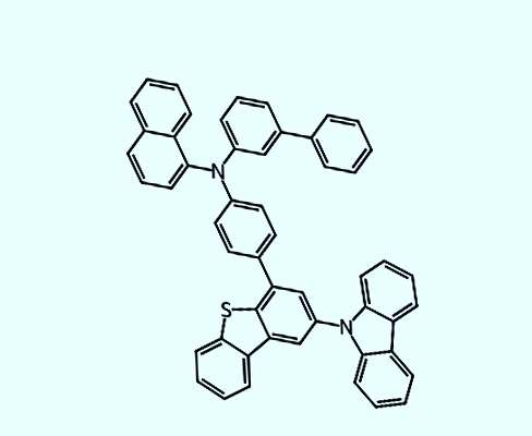 c1ccc(-c2cccc(N(c3ccc(-c4cc(-n5c6ccccc6c6ccccc65)cc5c4sc4ccccc45)cc3)c3cccc4ccccc34)c2)cc1